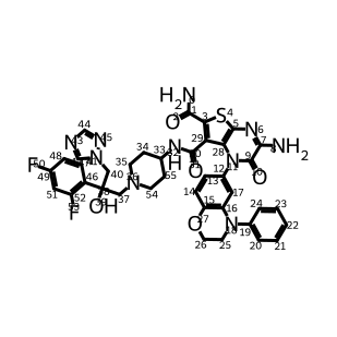 NC(=O)c1sc2nc(N)c(=O)n(-c3ccc4c(c3)N(c3ccccc3)CCO4)c2c1C(=O)NC1CCN(CC(O)(Cn2cncn2)c2ccc(F)cc2F)CC1